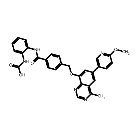 COc1ccc(-c2cc(OCc3ccc(C(=O)Nc4ccccc4NC(=O)O)cc3)c3ncnc(C)c3c2)cn1